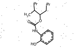 CC(C)CC(OC(=O)Nc1ccccc1O)C(C)C(C)C